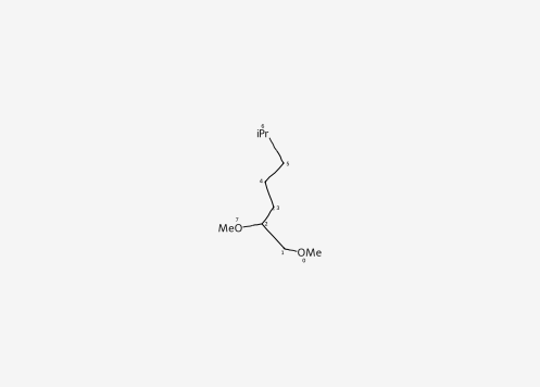 COCC([CH]CCC(C)C)OC